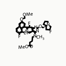 CCc1c(F)ccc2cc(OCOC)cc(-c3ncc4c(N(C)CCCC(=O)OC)nc(OC[C@@]56CCCN5C[C@H](F)C6)nc4c3F)c12